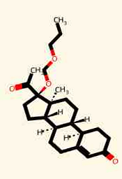 CCCOCO[C@]1(C(C)=O)CC[C@H]2[C@@H]3CCC4=CC(=O)CC[C@@H]4[C@H]3CC[C@@]21C